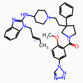 C/C=C/Cn1c(NC2CCN(CCC3(c4ccccc4)CCN(C(=O)c4cc(-n5cnnn5)ccc4OC)C3)CC2)nc2ccccc21